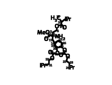 COC(=O)[C@@](N)(CCOC(=O)C(C)C(C)C)Cc1ccc(OC(=O)OCCC(C)C)c(OC(=O)OCCC(C)C)c1